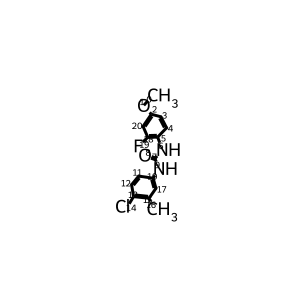 COc1ccc(NC(=O)Nc2ccc(Cl)c(C)c2)c(F)c1